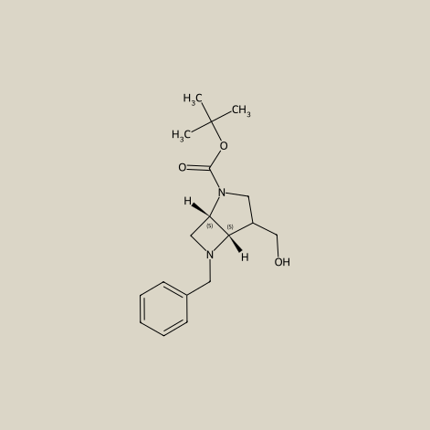 CC(C)(C)OC(=O)N1CC(CO)[C@H]2[C@@H]1CN2Cc1ccccc1